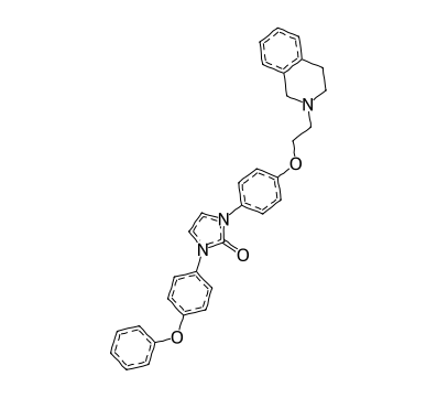 O=c1n(-c2ccc(OCCN3CCc4ccccc4C3)cc2)ccn1-c1ccc(Oc2ccccc2)cc1